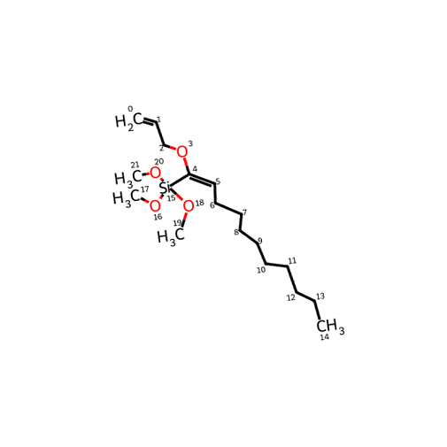 C=CCOC(=CCCCCCCCCC)[Si](OC)(OC)OC